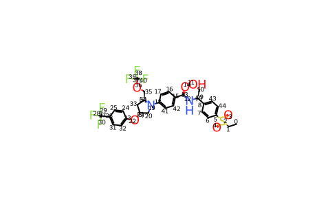 CCS(=O)(=O)c1ccc([C@H](CO)NC(=O)c2ccc(N3C[C@@H](Oc4ccc(C(F)(F)F)cc4)C[C@H]3COC(F)(F)F)cc2)cc1